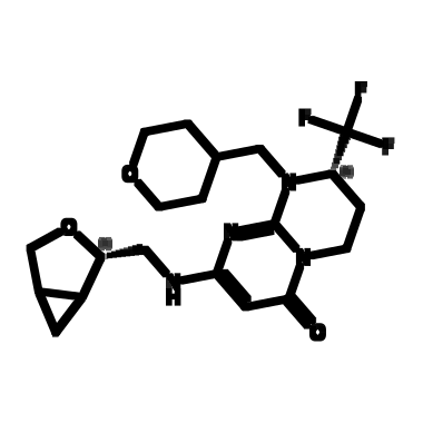 O=c1cc(NC[C@H]2OCC3CC32)nc2n1CC[C@@H](C(F)(F)F)N2CC1CCOCC1